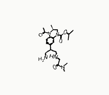 CC(=O)N1c2ccc(C(CN)CNCC(=O)N(C)C)cc2N(C(=O)OC(C)C)C[C@@H]1C